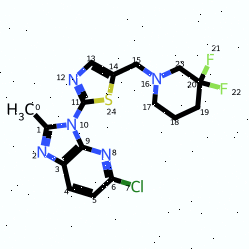 Cc1nc2ccc(Cl)nc2n1-c1ncc(CN2CCCC(F)(F)C2)s1